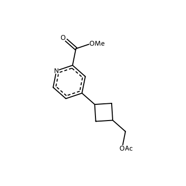 COC(=O)c1cc(C2CC(COC(C)=O)C2)ccn1